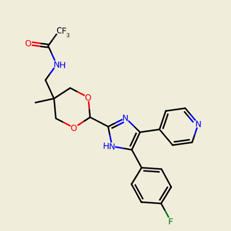 CC1(CNC(=O)C(F)(F)F)COC(c2nc(-c3ccncc3)c(-c3ccc(F)cc3)[nH]2)OC1